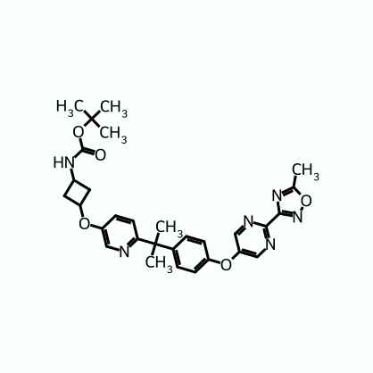 Cc1nc(-c2ncc(Oc3ccc(C(C)(C)c4ccc(OC5CC(NC(=O)OC(C)(C)C)C5)cn4)cc3)cn2)no1